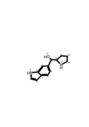 OC(c1ccc2cc[nH]c2c1)C1CCCN1